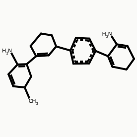 CC1C=CC(N)=C(C2=CC(c3ccc(C4=CCCC=C4N)cc3)CCC2)C1